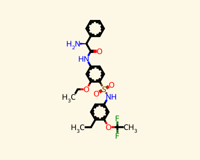 CCOc1cc(NC(=O)[C@@H](N)c2ccccc2)ccc1S(=O)(=O)Nc1ccc(CC)c(OC(C)(F)F)c1